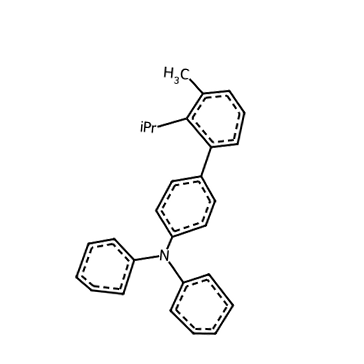 Cc1cccc(-c2ccc(N(c3ccccc3)c3ccccc3)cc2)c1C(C)C